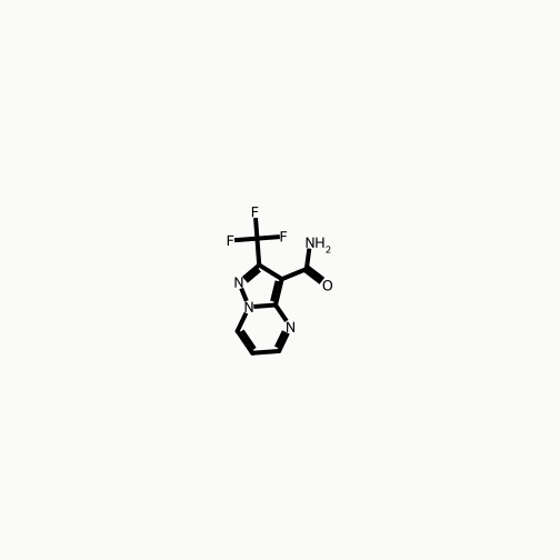 NC(=O)c1c(C(F)(F)F)nn2cccnc12